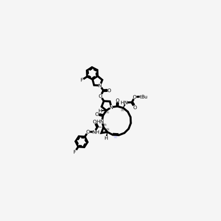 CC(C)(C)OC(=O)N[C@H]1CCCCC/C=C\[C@@H]2C[C@@]2(C(=O)NOc2ccc(F)cc2)NC(=O)[C@@H]2CC(OC(=O)N3Cc4cccc(F)c4C3)CN2C1=O